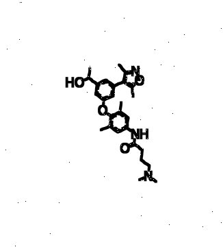 Cc1cc(NC(=O)CCCN(C)C)cc(C)c1Oc1cc(-c2c(C)noc2C)cc(C(C)O)c1